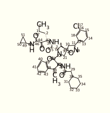 CCC[C@H](NC(=O)[C@@H]1C[C@]2(CC(c3cccc(Cl)c3)=NO2)CN1C(=O)[C@@H](NC(=O)CC1CCCCC1)C(C)c1ccccc1)C(=O)C(=O)NC1CC1